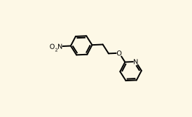 O=[N+]([O-])c1ccc(CCOc2ccccn2)cc1